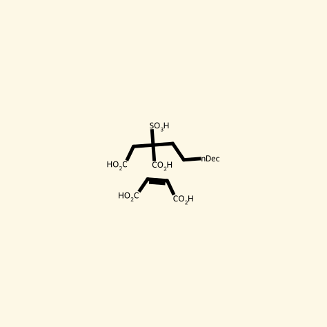 CCCCCCCCCCCCC(CC(=O)O)(C(=O)O)S(=O)(=O)O.O=C(O)/C=C\C(=O)O